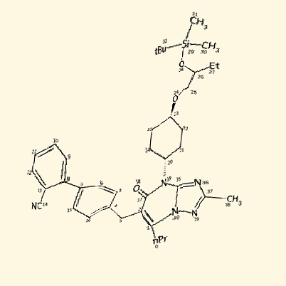 CCCc1c(Cc2ccc(-c3ccccc3C#N)cc2)c(=O)n([C@H]2CC[C@H](OCC(CC)O[Si](C)(C)C(C)(C)C)CC2)c2nc(C)nn12